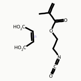 C=C(C)C(=O)OCCN=C=O.O=C(O)/C=C\C(=O)O